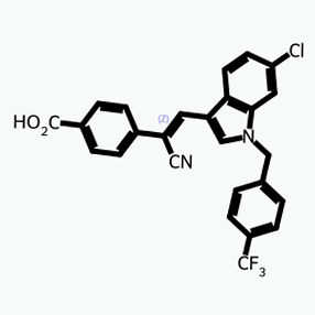 N#C/C(=C\c1cn(Cc2ccc(C(F)(F)F)cc2)c2cc(Cl)ccc12)c1ccc(C(=O)O)cc1